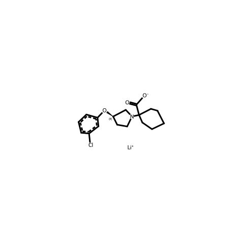 O=C([O-])C1(N2CC[C@@H](Oc3cccc(Cl)c3)C2)CCCCC1.[Li+]